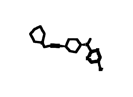 CN(c1ncc(Br)cn1)[C@H]1CC[C@H](C#CCN2CCCCC2)CC1